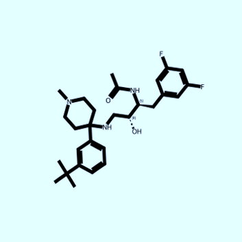 CC(=O)N[C@@H](Cc1cc(F)cc(F)c1)[C@H](O)CNC1(c2cccc(C(C)(C)C)c2)CCN(C)CC1